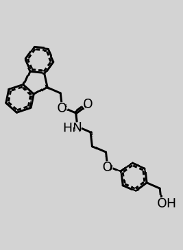 O=C(NCCCOc1ccc(CO)cc1)OCC1c2ccccc2-c2ccccc21